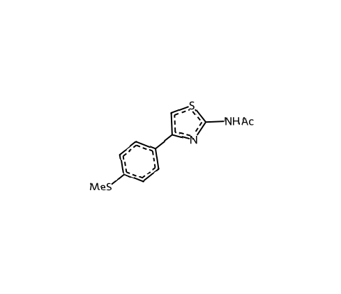 CSc1ccc(-c2csc(NC(C)=O)n2)cc1